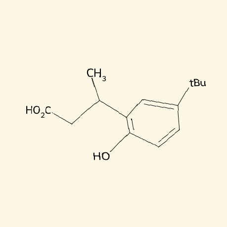 CC(CC(=O)O)c1cc(C(C)(C)C)ccc1O